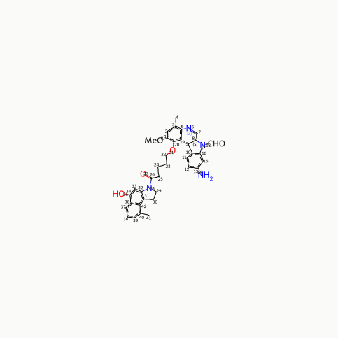 COc1cc(C)c(/N=C\[C@@H]2Cc3ccc(N)cc3N2C=O)cc1OCCCCC(=O)N1CCc2c1cc(O)c1cccc(C)c21